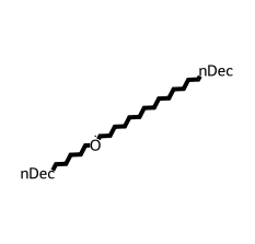 CCCCCCCCCCCCCCCCCCCCCCC[CH]OCCCCCCCCCCCCCCC